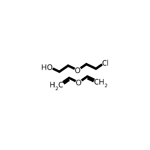 C=COC=C.OCCOCCCl